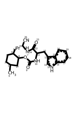 CC1CCC(C(C)C)C(OC(=O)NC(Cc2c[nH]c3ccccc23)C(=O)NCC#N)C1